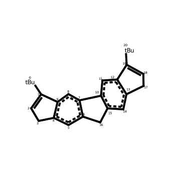 CC(C)(C)C1=CCc2cc3c(cc21)-c1cc2c(cc1C3)CC=C2C(C)(C)C